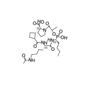 CCCC[C@@H](NC(=O)[C@H](CCCCNC(C)=O)NC(=O)C1CCC1)P(=O)(O)OC(C)C(=O)N1CCC[C@H]1C(=O)O